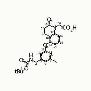 Cc1cc(CNC(=O)OC(C)(C)C)cc(Oc2cccc3c2CCC(=O)N3CC(=O)O)n1